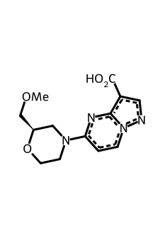 COC[C@H]1CN(c2ccn3ncc(C(=O)O)c3n2)CCO1